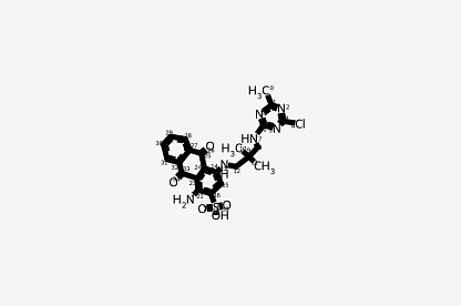 Cc1nc(Cl)nc(NCC(C)(C)CNc2cc(S(=O)(=O)O)c(N)c3c2C(=O)c2ccccc2C3=O)n1